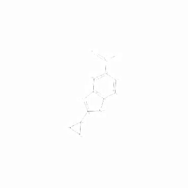 O=[N+]([O-])c1ccc2[nH]c(C3CC3)nc2c1